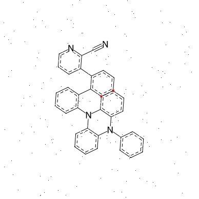 N#Cc1ncccc1-c1ccccc1-c1ccccc1N1c2ccccc2N(c2ccccc2)c2ccccc21